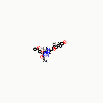 CC(=O)CCC(=O)N[C@H](Cc1ccc(C(=O)c2ccccc2)cc1)C(=O)NCCN(C)CC(C)CC1CC2CC3=C4CC5C(CC=C6CC(O)CCC65C)C4CCC32O1